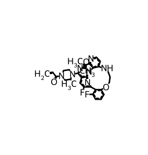 C=CC(=O)N1CCN(c2nc(=O)n3c4nc(c(F)cc24)-c2c(F)cccc2OCCCNc2ccnc(C(C)C)c2-3)[C@@H](C)C1